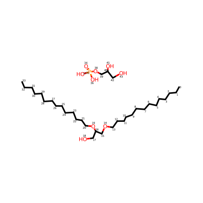 CCCCCCCCCCCCCCOCC(CO)OCCCCCCCCCCCCCC.O=P(O)(O)OCC(O)CO